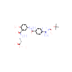 CC(C)(C)OC(=O)NC(=N)c1ccc(C(=O)Nc2ccc(O)c(C(=O)NCCC(=O)O)c2)cc1